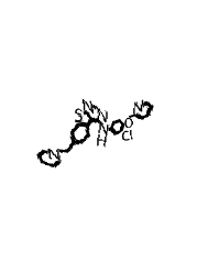 Clc1cc(Nc2ncnc3sc4c(c23)CCC(CCN2CCCCC2)C4)ccc1OCc1ccccn1